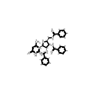 Cc1cc(=O)[nH]c(=O)n1[C@H]1O[C@@H](COC(=O)c2ccccc2)[C@H](OC(=O)c2ccccc2)[C@@H]1OC(=O)c1ccccc1